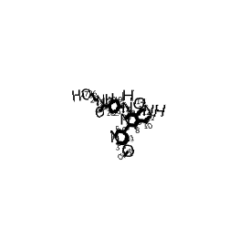 COc1cncc(-c2cc3cc[nH]c(=O)c3c(Nc3ccc(C(=O)NCCO)cc3)n2)c1